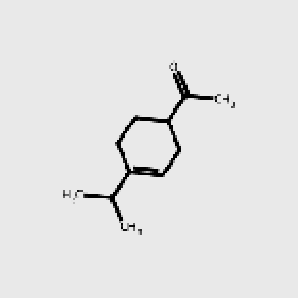 CC(=O)C1CC=C(C(C)C)CC1